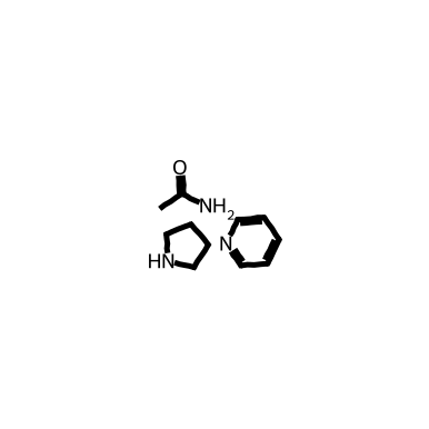 C1CCNC1.CC(N)=O.c1ccncc1